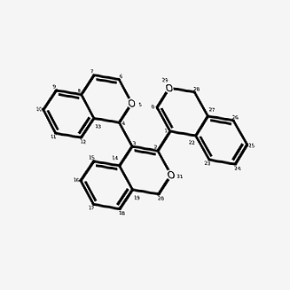 [C]1=C(C2=C(C3OC=Cc4ccccc43)c3ccccc3CO2)c2ccccc2CO1